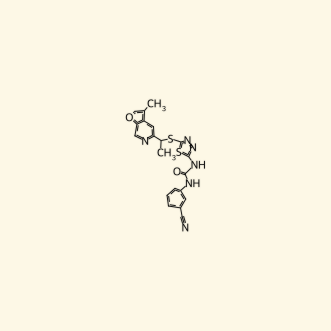 Cc1coc2cnc(C(C)Sc3nnc(NC(=O)Nc4cccc(C#N)c4)s3)cc12